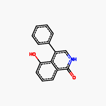 O=c1[nH]cc(-c2ccccc2)c2c(O)cccc12